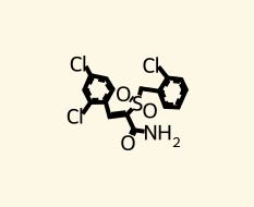 NC(=O)/C(=C/c1ccc(Cl)cc1Cl)S(=O)(=O)Cc1ccccc1Cl